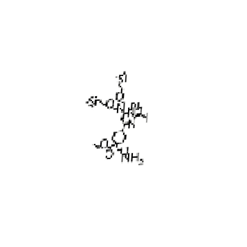 CCOC(=O)C1(CON)CCC(c2cc(N(COCC[Si](C)(C)C)COCC[Si](C)(C)C)n3ncc(I)c3n2)CC1